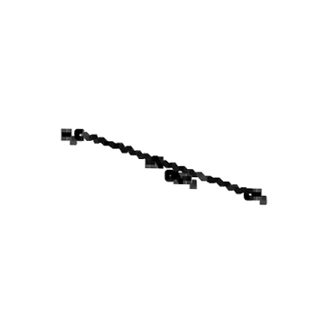 CCCCCCCCC=CCCCCCCCCNCCCC(CCCCCCC=CCCCCCCCC)C(N)=O